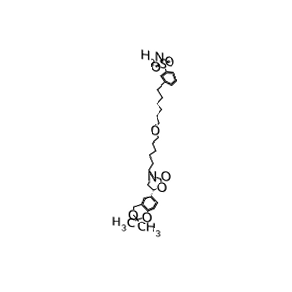 CC1(C)OCc2cc([C@@H]3CN(CCCCCCOCCCCCCc4cccc(S(N)(=O)=O)c4)C(=O)O3)ccc2O1